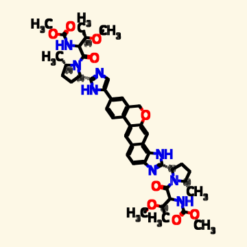 COC(=O)NC(C(=O)N1[C@@H](C)CC[C@H]1c1ncc(-c2ccc3c(c2)COc2cc4c(ccc5nc([C@@H]6CC[C@H](C)N6C(=O)C(NC(=O)OC)[C@@H](C)OC)[nH]c54)cc2-3)[nH]1)[C@@H](C)OC